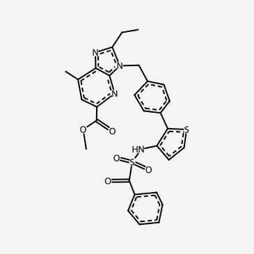 CCc1nc2c(C)cc(C(=O)OC)nc2n1Cc1ccc(-c2sccc2NS(=O)(=O)C(=O)c2ccccc2)cc1